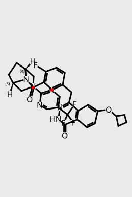 O=C(c1cc(Cc2n[nH]c(=O)c3ccc(OC4CCC4)cc23)ccc1F)N1[C@@H]2CC[C@H]1CN(c1ncc(C(F)(F)F)cn1)C2